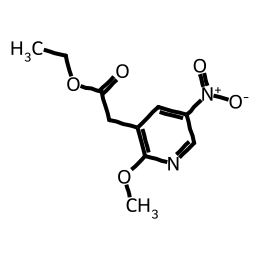 CCOC(=O)Cc1cc([N+](=O)[O-])cnc1OC